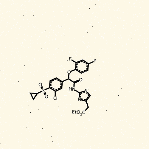 CCOC(=O)Cc1csc(NC(=O)C(Oc2ccc(F)cc2F)c2ccc(S(=O)(=O)C3CC3)c(Cl)c2)n1